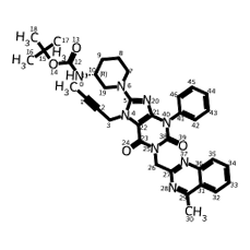 CC#CCn1c(N2CCC[C@@H](NC(=O)OC(C)(C)C)C2)nc2c1c(=O)n(Cc1nc(C)c3ccccc3n1)c(=O)n2-c1ccccc1